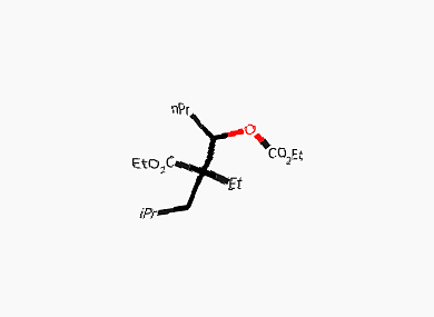 CCCC(OC(=O)OCC)C(CC)(CC(C)C)C(=O)OCC